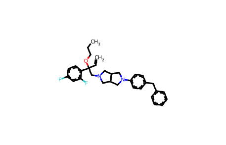 C=CC(CN1CC2CN(c3ccc(Cc4ccccc4)cc3)CC2C1)(OCCC)c1ccc(F)cc1F